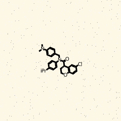 CC(C)c1ccc(N(Cc2ccc(N(C)C)cc2)C(=O)C2CCOc3ccc(Cl)cc32)cc1